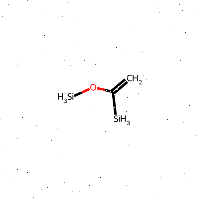 C=C([SiH3])O[SiH3]